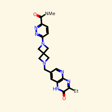 CCc1nc2ncc(CN3CC4(C3)CN(c3ccc(C(=O)NC)nn3)C4)cc2[nH]c1=O